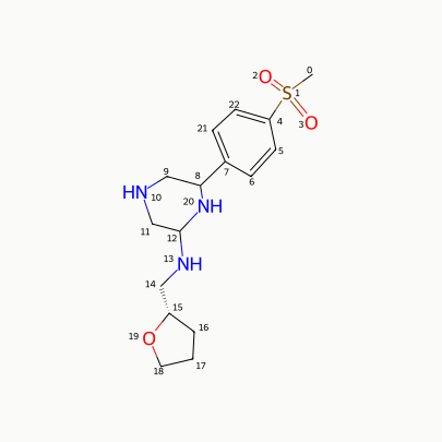 CS(=O)(=O)c1ccc(C2CNCC(NC[C@@H]3CCCO3)N2)cc1